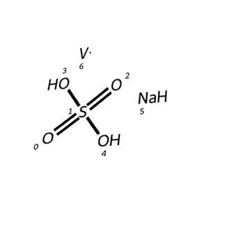 O=S(=O)(O)O.[NaH].[V]